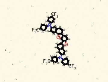 FC(F)(F)c1ccc(N(c2ccc(C(F)(F)F)cc2)c2ccc3c(ccc4c5ccc6oc7c8ccc(N(c9ccc(C(F)(F)F)cc9)c9ccc(C(F)(F)F)cc9)cc8ccc7c6c5oc34)c2)cc1